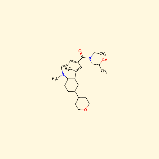 CCN(CC(C)O)C(=O)C1=C/C=C/N(C)C2CCC(C3CCOCC3)CC2\C(C)=C\1